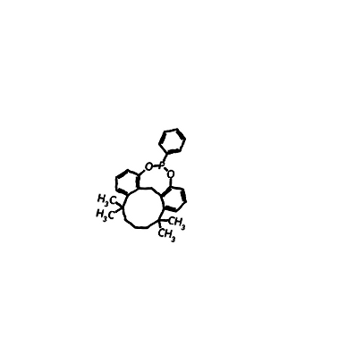 CC1(C)CCCC(C)(C)c2cccc3c2Cc2c(cccc21)OP(c1ccccc1)O3